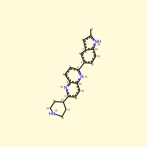 Cc1cc2cc(-c3ccc4nc(C5CCNCC5)ccc4n3)ccc2[nH]1